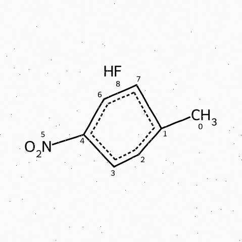 Cc1ccc([N+](=O)[O-])cc1.F